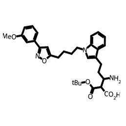 COc1cccc(-c2cc(CCCCn3cc(CCC(N)C(C(=O)O)C(=O)OC(C)(C)C)c4ccccc43)on2)c1